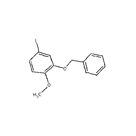 COc1ccc(I)cc1OCc1ccccc1